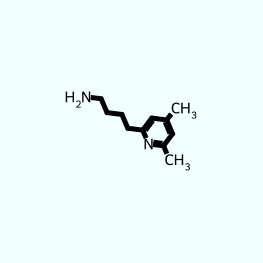 Cc1cc(C)nc(CCCCN)c1